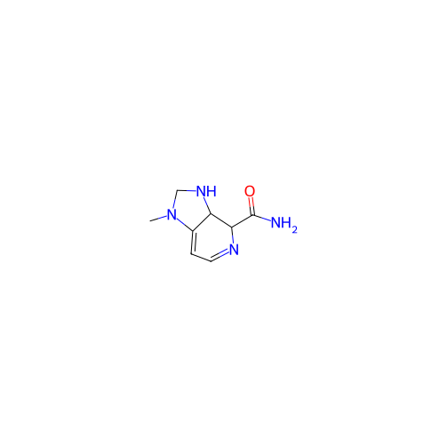 CN1CNC2C1=CC=NC2C(N)=O